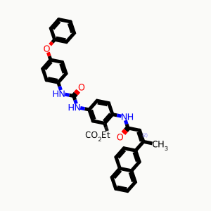 CCOC(=O)c1cc(NC(=O)Nc2ccc(Oc3ccccc3)cc2)ccc1NC(=O)/C=C(/C)c1ccc2ccccc2c1